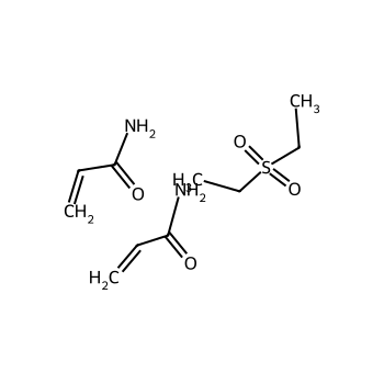 C=CC(N)=O.C=CC(N)=O.CCS(=O)(=O)CC